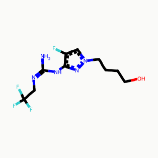 N/C(=N/CC(F)(F)F)Nc1nn(CCCCO)cc1F